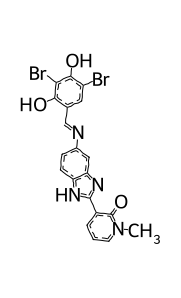 Cn1cccc(-c2nc3cc(/N=C/c4cc(Br)c(O)c(Br)c4O)ccc3[nH]2)c1=O